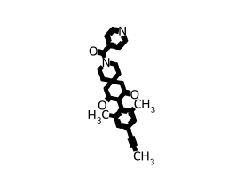 CC#Cc1cc(C)c(C2C(=O)CC3(CCN(C(=O)c4ccncc4)CC3)CC2=O)c(C)c1